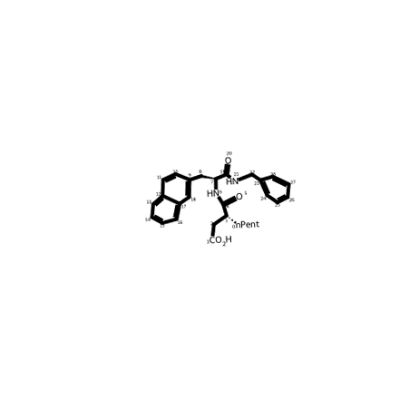 CCCCC[C@H](CC(=O)O)C(=O)N[C@@H](Cc1ccc2ccccc2c1)C(=O)NCc1ccccc1